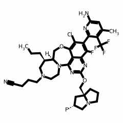 CCC[C@@H]1CN(CCCC#N)CCN2c3nc(OC[C@@]45CCCN4C[C@H](F)C5)nc4c(F)c(-c5nc(N)cc(C)c5C(F)(F)F)c(Cl)c(c34)OC[C@H]12